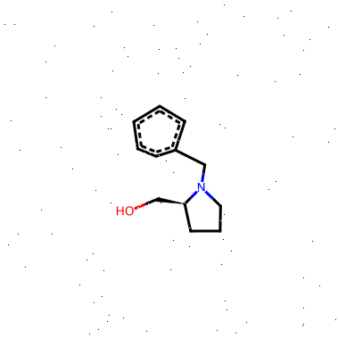 OC[C@@H]1CCCN1Cc1ccccc1